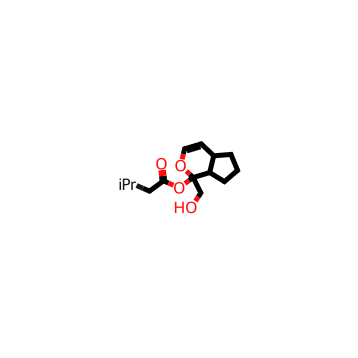 CC(C)CC(=O)OC1(CO)OC=CC2CCCC21